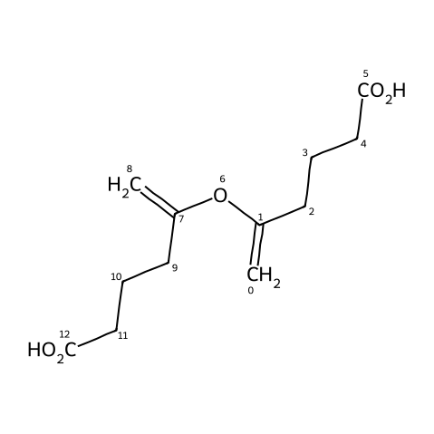 C=C(CCCC(=O)O)OC(=C)CCCC(=O)O